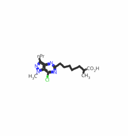 CCCc1nn(C)c2c(Cl)nc(CCCCCC(C)C(=O)O)nc12